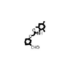 Cc1cc(C)c(NC(=O)COc2cccc(C=O)c2)c(C)c1